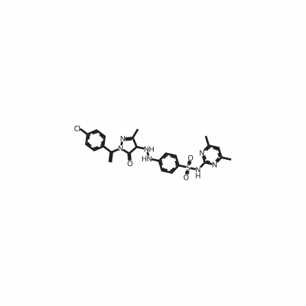 C=C(c1ccc(Cl)cc1)N1N=C(C)C(NNc2ccc(S(=O)(=O)Nc3nc(C)cc(C)n3)cc2)C1=O